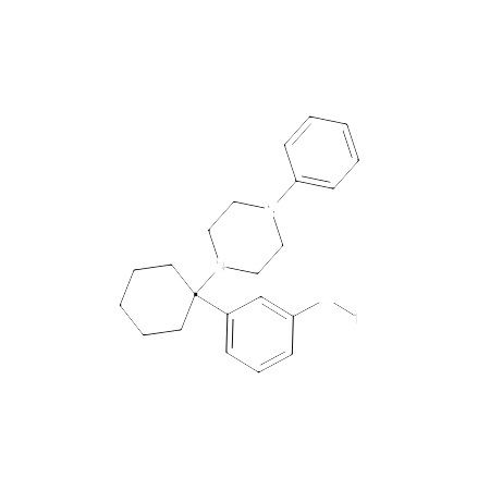 CCOc1cccc(C2(N3CCN(c4ccccc4)CC3)CCCCC2)c1